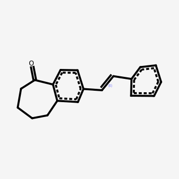 O=C1CCCCc2cc(/C=C/c3ccccc3)ccc21